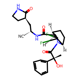 C[C@](O)(C(=O)N1[C@@H]2CC[C@H]([C@@H]1C(=O)N[C@H](C#N)C[C@H]1CCNC1=O)C(F)(F)C2)c1ccccc1